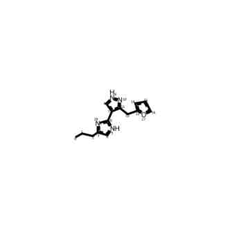 CCCc1c[nH]c(-c2c[nH]nc2Cc2ccco2)n1